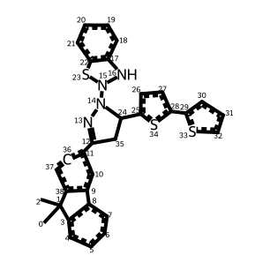 CC1(C)c2ccccc2-c2cc(C3=NN(N4Nc5ccccc5S4)C(c4ccc(-c5cccs5)s4)C3)ccc21